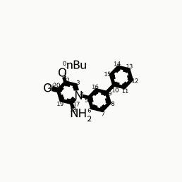 CCCCOc1cn(-c2cccc(-c3ccccc3)c2)c(N)cc1=O